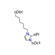 CCCCCCCCCCCCCCCCN1C=CN(CCCCCCCC)C1CCC